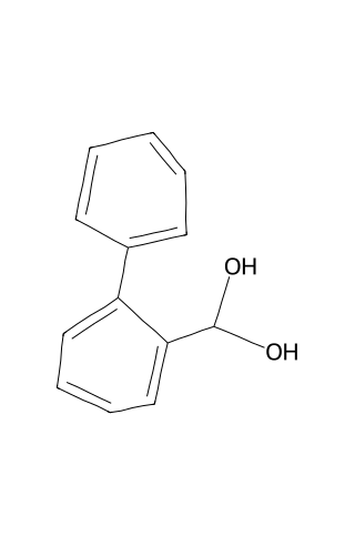 OC(O)c1ccccc1-c1ccccc1